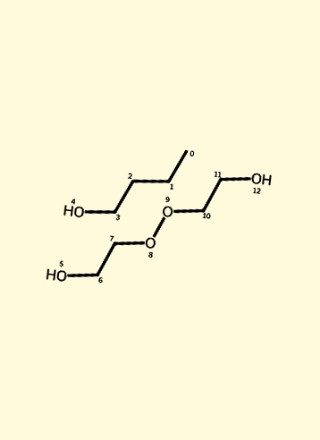 CCCCO.OCCOOCCO